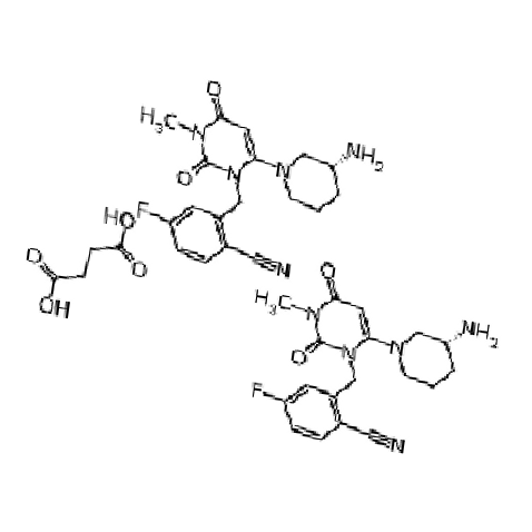 Cn1c(=O)cc(N2CCC[C@@H](N)C2)n(Cc2cc(F)ccc2C#N)c1=O.Cn1c(=O)cc(N2CCC[C@@H](N)C2)n(Cc2cc(F)ccc2C#N)c1=O.O=C(O)CCC(=O)O